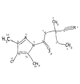 CCC(C)(C#N)SC(=S)n1nc(C)c(Cl)c1C